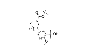 COc1ncc(C2CN(C(=O)OC(C)(C)C)CCC2(F)F)cc1C(C)(C)O